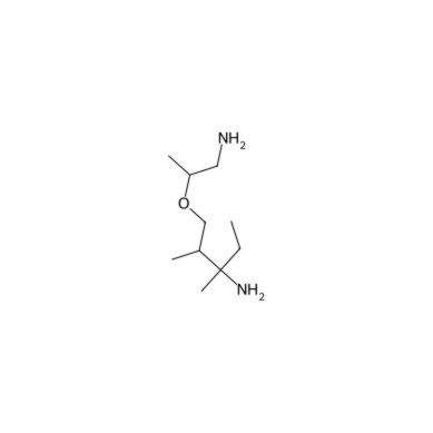 CCC(C)(N)C(C)COC(C)CN